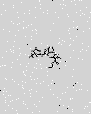 CCOC(=O)c1c(C)nn(-c2cccc3oc(Cc4cccc(C(F)(F)F)c4)cc23)c1C